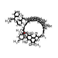 CO[C@H]1C=CO[C@@]2(C)Oc3c(C)c(O)c4c(O)c(c(C=NN5CCN(C)CC5)c(O)c4c3C2=O)NC(=O)C(C)=CC=C[C@H](C)[C@H](O)[C@@H](C)[C@@H](O)[C@@H](C)[C@H](OC(C)=O)[C@@H]1C.NC(=O)c1cnccn1.NNC(=O)c1ccncc1